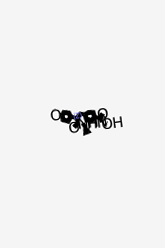 COc1ccc(/C(=C/c2ccc(C(=O)NO)cc2)C(=O)NC2CC2)cc1